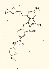 COc1cc(C(=O)NC2CCN(C)CC2)ccc1Cn1nc(C)c2nc(N)nc(NCC3CC4(CC4)C3)c21